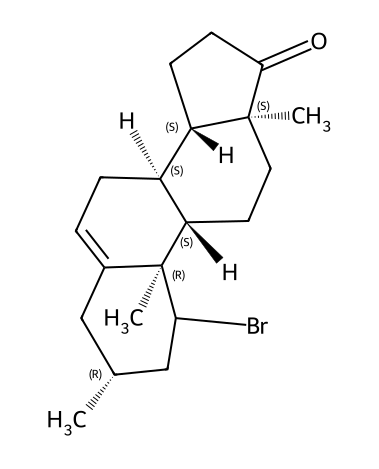 C[C@@H]1CC2=CC[C@H]3[C@@H]4CCC(=O)[C@@]4(C)CC[C@@H]3[C@@]2(C)C(Br)C1